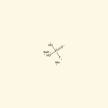 O=P(O)(O)F.[Mn].[NaH]